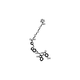 CC(C)(C)OC(=O)NCCOCCOCCOCCNC(=O)c1ccc(Cn2ccc3ccc(CNCc4[nH]c5ccccc5c4C4NC(=O)c5ccc(O)cc54)cc32)s1